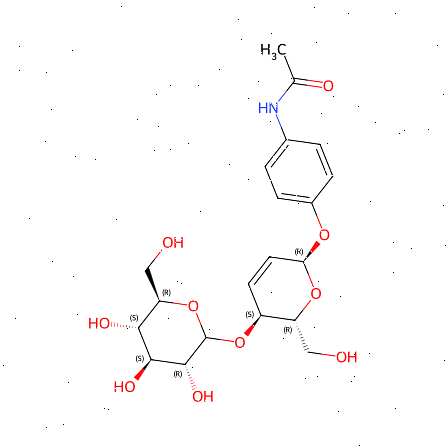 CC(=O)Nc1ccc(O[C@@H]2C=C[C@H](OC3O[C@H](CO)[C@@H](O)[C@H](O)[C@H]3O)[C@@H](CO)O2)cc1